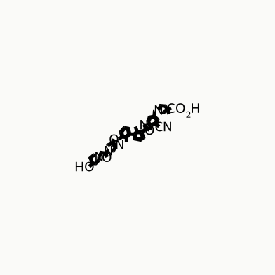 Cc1c(-c2nc3c(o2)CN(C(=O)CN2CCC(O)CC2)C3)cccc1-c1cccc(-c2nc3cc(CN4CCC(C)(C(=O)O)C4)cc(C#N)c3o2)c1C